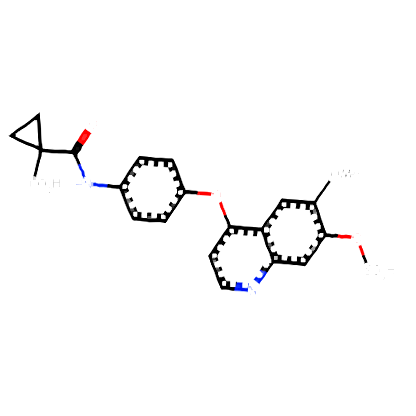 COc1cc2c(Oc3ccc(NC(=O)C4(C(=O)O)CC4)cc3)ccnc2cc1OS(=O)(=O)O